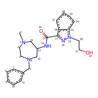 CN1CCN(Cc2ccccc2)CC(NC(=O)c2nn(CCO)c3ccccc23)C1